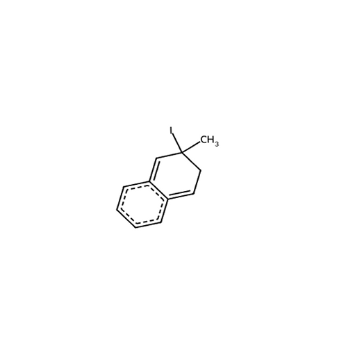 CC1(I)C=c2ccccc2=CC1